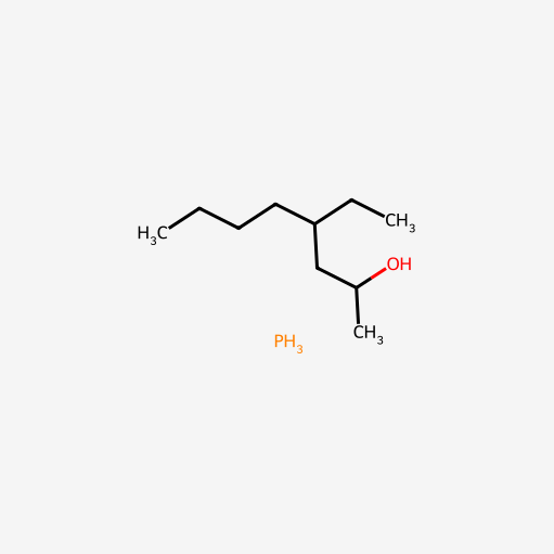 CCCCC(CC)CC(C)O.P